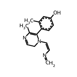 C=N/C=C\N1CC=NC(C)=C1c1ccc(O)cc1C